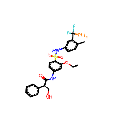 CCOc1cc(NC(=O)[C@@H](CO)c2ccccc2)ccc1S(=O)(=O)Nc1ccc(C)c(C(F)(F)P)c1